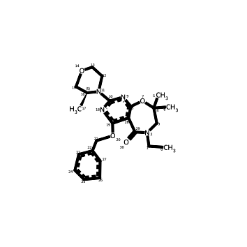 CCN1CC(C)(C)Oc2nc(N3CCOC[C@@H]3C)nc(OCc3ccccc3)c2C1=O